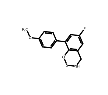 Fc1cc2c(c(-c3ccc(OC(F)(F)F)cc3)c1)OSNC2